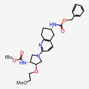 COCCO[C@@H]1CN(c2ccc3c(n2)CC[C@H](NC(=O)OCc2ccccc2)C3)C[C@H]1NC(=O)OC(C)(C)C